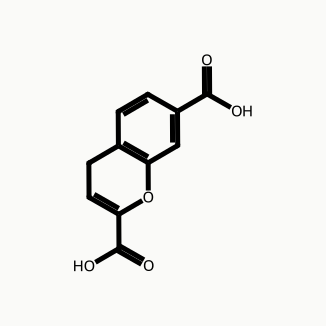 O=C(O)C1=CCc2ccc(C(=O)O)cc2O1